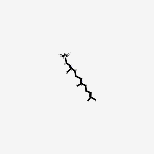 CC(C)=CCC/C(C)=C/CC/C(C)=C/C[SH](=O)=O